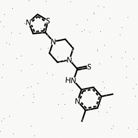 Cc1cc(C)nc(NC(=S)N2CCN(c3cncs3)CC2)c1